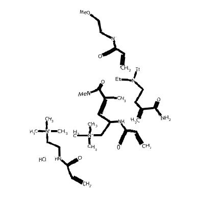 C=C(CCN(CC)CC)C(N)=O.C=CC(=O)NC(C=C(C)C(=O)[N-]C)C[N+](C)(C)C.C=CC(=O)NCC[N+](C)(C)C.C=CC(=O)[N-]CCOC.Cl